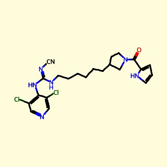 N#CN=C(NCCCCCCC1CCN(C(=O)c2ccc[nH]2)C1)Nc1c(Cl)cncc1Cl